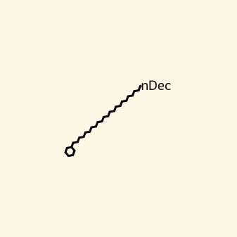 CCCCCCCCCCCCCCCCCCCCCCCCCCCCCCCCCC1CCCCC1